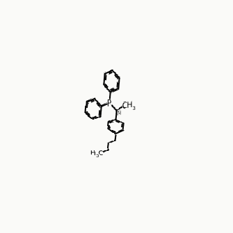 CCCCc1ccc([C@H](C)P(c2ccccc2)c2ccccc2)cc1